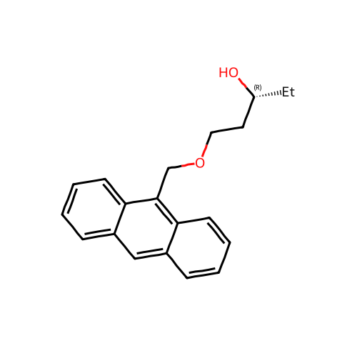 CC[C@@H](O)CCOCc1c2ccccc2cc2ccccc12